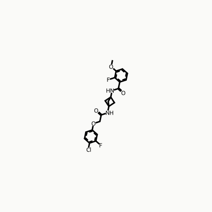 COc1cccc(C(=O)NC23CC(NC(=O)COc4ccc(Cl)c(F)c4)(C2)C3)c1F